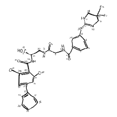 O=C(CNC(=O)c1cccc(NC2=NCC(F)(F)CN2)c1)NC[C@@H](NC(=O)c1c(Cl)cc(-c2ccccc2)cc1Cl)C(=O)O